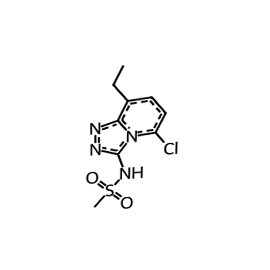 CCc1ccc(Cl)n2c(NS(C)(=O)=O)nnc12